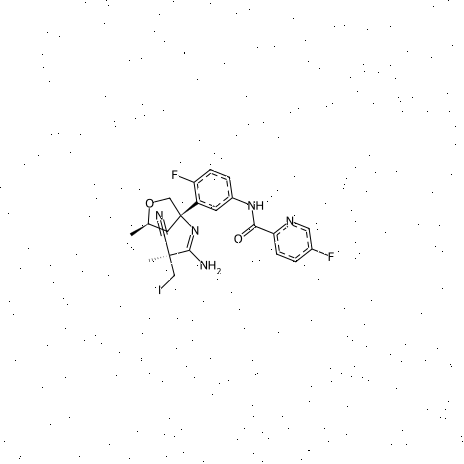 C[C@@H]1C[C@](/N=C(/N)[C@](C)(C#N)CI)(c2cc(NC(=O)c3ccc(F)cn3)ccc2F)CO1